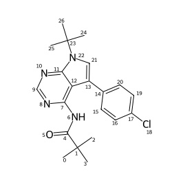 CC(C)(C)C(=O)Nc1ncnc2c1c(-c1ccc(Cl)cc1)cn2C(C)(C)C